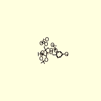 COc1ccc(CO[C@@H]2C3OC(C)(C)O[C@H]3OC2(COS(C)(=O)=O)COS(C)(=O)=O)cc1